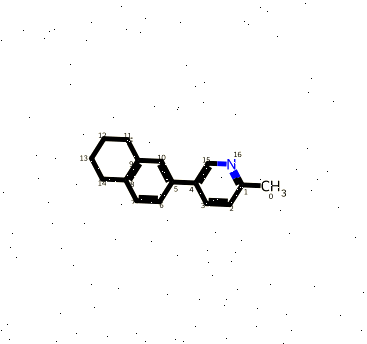 Cc1ccc(-c2ccc3c(c2)[C]CCC3)cn1